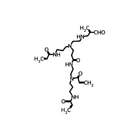 C=CC(=O)NCCCN(CCNCC(=C)C=O)CCC(=O)NCCN(CCCNC(=O)C=C)C(=O)C=C